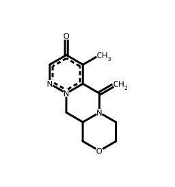 C=C1c2c(C)c(=O)cnn2CC2COCCN12